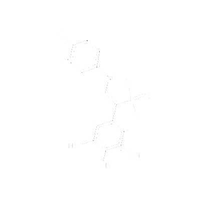 Cc1ccc(NC=C(c2cc(C)c(O)c(C)c2)P(=O)(O)O)cn1